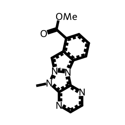 COC(=O)c1cccc2c1c[n+]1n(C)c3nccnc3n21